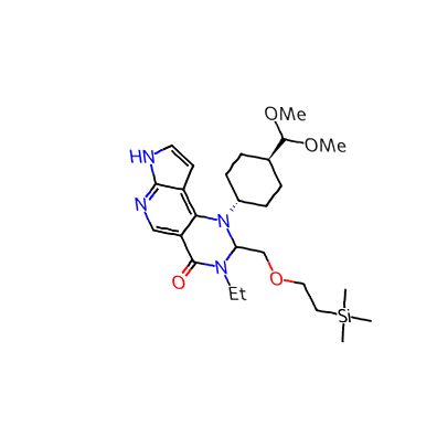 CCN1C(=O)c2cnc3[nH]ccc3c2N([C@H]2CC[C@H](C(OC)OC)CC2)C1COCC[Si](C)(C)C